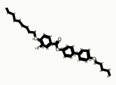 CCCCCCCCCOc1ccc(C(=O)Oc2ccc(-c3ccc(OCCCCC)cc3)cc2)cc1F